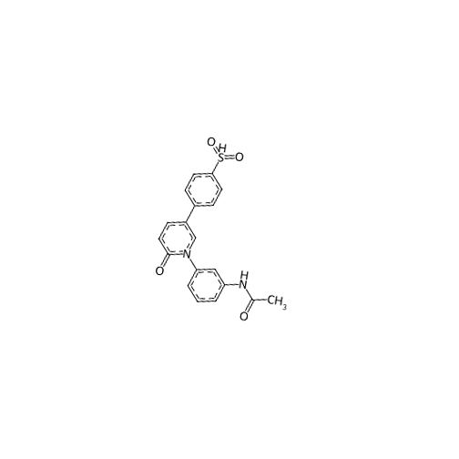 CC(=O)Nc1cccc(-n2cc(-c3ccc([SH](=O)=O)cc3)ccc2=O)c1